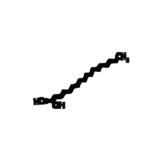 C#CC(O)C=CCCCCCCCCCCCCCCC